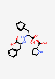 O=C(O)[C@@H]1CCCN1.O=C(O)[C@H](Cc1ccccc1)NN[C@@H](Cc1ccccc1)C(=O)O